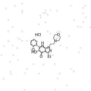 CCc1nn(CCN2CCOCC2)c2[nH]c(-c3ccccc3Cl)c(O)c(=O)c12.Cl